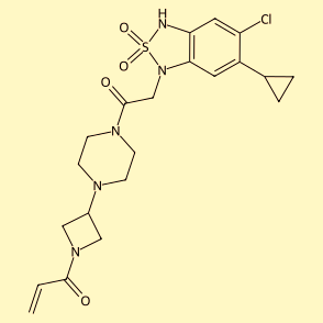 C=CC(=O)N1CC(N2CCN(C(=O)CN3c4cc(C5CC5)c(Cl)cc4NS3(=O)=O)CC2)C1